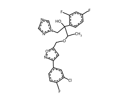 CC(OCc1cc(-c2ccc(F)c(Cl)c2)no1)C(O)(Cn1cncn1)c1ccc(F)cc1F